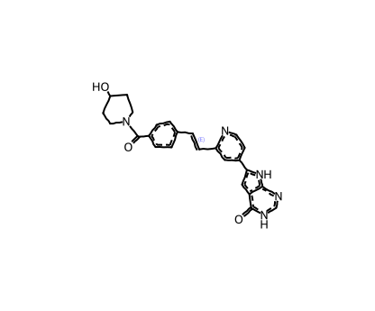 O=C(c1ccc(/C=C/c2cc(-c3cc4c(=O)[nH]cnc4[nH]3)ccn2)cc1)N1CCC(O)CC1